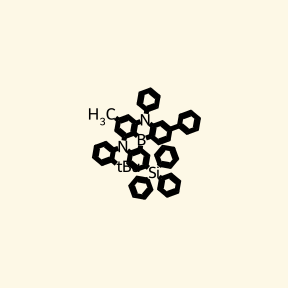 Cc1cc2c3c(c1)N(c1ccccc1C(C)(C)C)c1ccc([Si](c4ccccc4)(c4ccccc4)c4ccccc4)cc1B3c1ccc(-c3ccccc3)cc1N2c1ccccc1